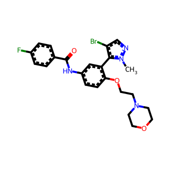 Cn1ncc(Br)c1-c1cc(NC(=O)c2ccc(F)cc2)ccc1OCCN1CCOCC1